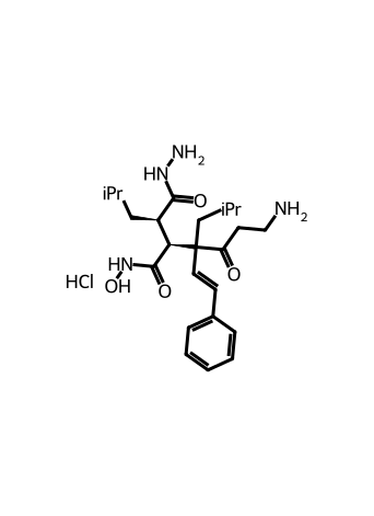 CC(C)C[C@@H](C(=O)NN)[C@H](C(=O)NO)C(/C=C/c1ccccc1)(CC(C)C)C(=O)CCN.Cl